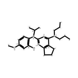 CCCN(CCC)c1nc(N(c2ccc(OC)cc2Cl)C(C)C)nc2c1CCC2